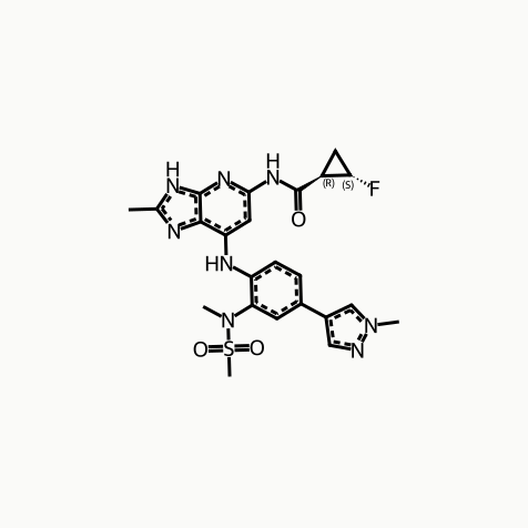 Cc1nc2c(Nc3ccc(-c4cnn(C)c4)cc3N(C)S(C)(=O)=O)cc(NC(=O)[C@H]3C[C@@H]3F)nc2[nH]1